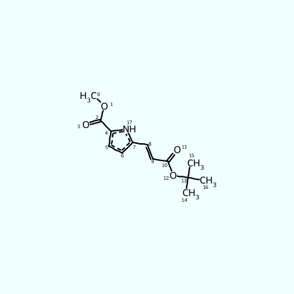 COC(=O)c1ccc(C=CC(=O)OC(C)(C)C)[nH]1